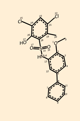 COc1ccc(-c2ccccc2)cc1NS(=O)(=O)c1c(C)c(Cl)cc(Cl)c1O